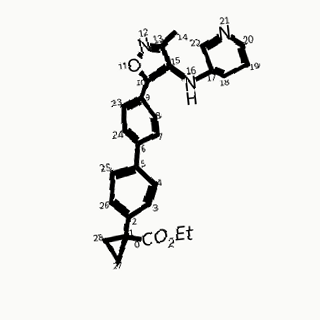 CCOC(=O)C1(c2ccc(-c3ccc(-c4onc(C)c4Nc4cccnc4)cc3)cc2)CC1